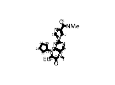 CCC1C(=O)N(C)c2cnc(-n3cnc(C(=O)NC)c3)nc2N1C1CCCC1